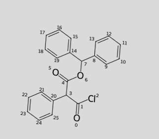 O=C(Cl)C(C(=O)OC(c1ccccc1)c1ccccc1)c1ccccc1